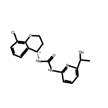 CC(O)c1cccc(NC(=O)N[C@H]2CCOc3c(Cl)cccc32)n1